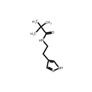 CC(C)(C)C(=O)NCCc1cn[nH]c1